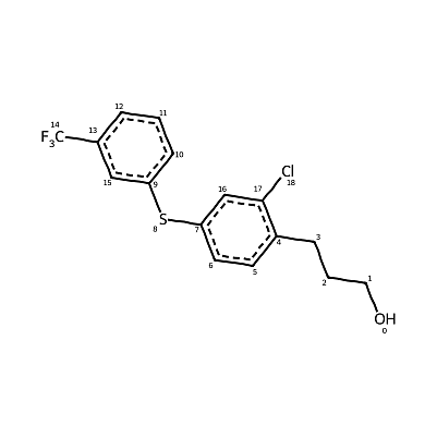 OCCCc1ccc(Sc2cccc(C(F)(F)F)c2)cc1Cl